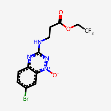 O=C(CCNc1nc2ccc(Br)cc2[n+]([O-])n1)OCC(F)(F)F